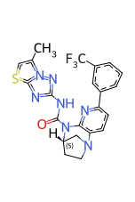 Cc1csc2nc(NC(=O)N3c4nc(-c5cccc(C(F)(F)F)c5)ccc4N4CC[C@H]3C4)nn12